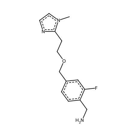 Cn1ccnc1CCOCc1ccc(CN)c(F)c1